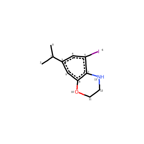 CC(C)c1cc(I)c2c(c1)OCCN2